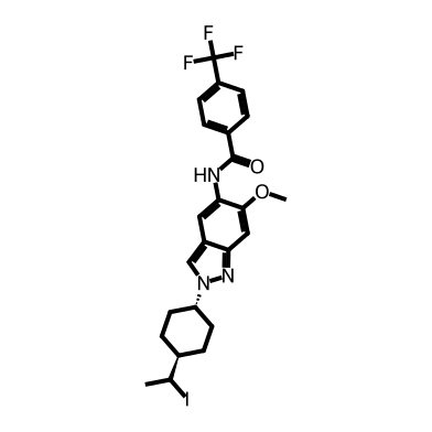 COc1cc2nn([C@H]3CC[C@H](C(C)I)CC3)cc2cc1NC(=O)c1ccc(C(F)(F)F)cc1